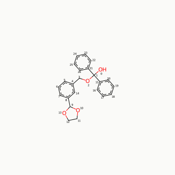 OC(OCc1cccc(C2OCCO2)c1)(c1ccccc1)c1ccccc1